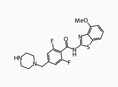 COc1cccc2sc(NC(=O)c3c(F)cc(CN4CCNCC4)cc3F)nc12